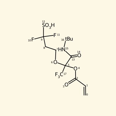 C=CC(=O)OC(OCCC(F)(F)S(=O)(=O)O)(C(=O)NC(C)(C)C)C(F)(F)F